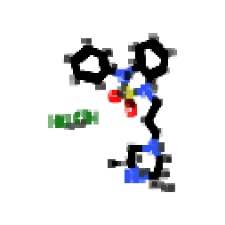 C[C@@H]1CN(CCCN2c3ccccc3N(c3ccccc3)S2(=O)=O)C[C@H](C)N1.Cl.Cl